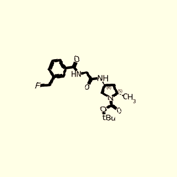 C[C@H]1C[C@@H](NC(=O)CNC(=O)c2cccc(CF)c2)CN1C(=O)OC(C)(C)C